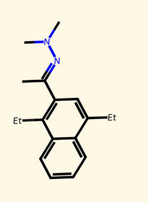 CCc1cc(/C(C)=N/N(C)C)c(CC)c2ccccc12